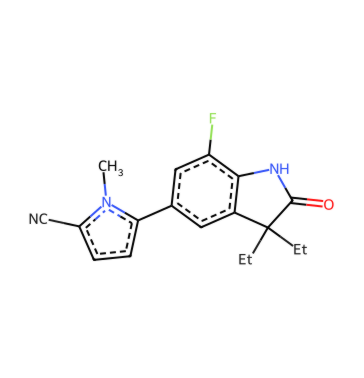 CCC1(CC)C(=O)Nc2c(F)cc(-c3ccc(C#N)n3C)cc21